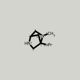 CC[CH]C12CNC(CN1C)C2